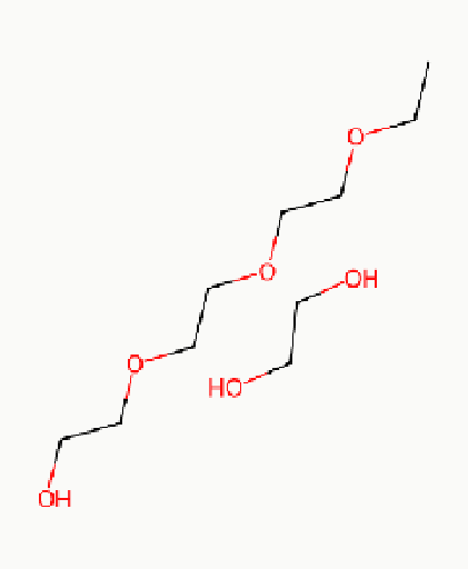 CCOCCOCCOCCO.OCCO